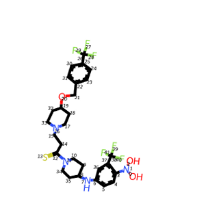 ON(O)c1ccc(NC2CCN(C(=S)CCN3CCC(OCc4ccc(C(F)(F)F)cc4)CC3)CC2)cc1C(F)(F)F